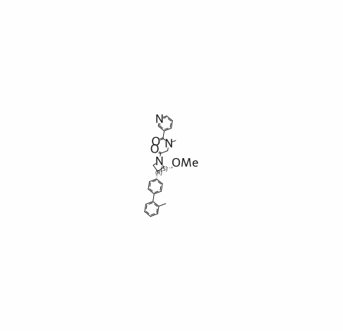 COC[C@@H]1[C@H](c2ccc(-c3ccccc3C)cc2)CN1C(=O)CN(C)C(=O)c1cccnc1